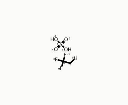 O=S(=O)(O)O.[Li][CH2]C(F)(F)F